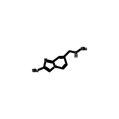 CC(C)(C)BCc1ccn2cc(C(C)(C)C)nc2c1